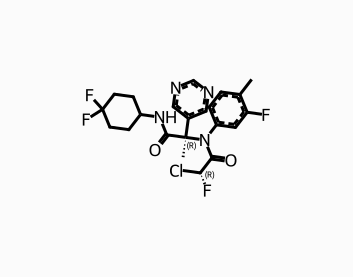 Cc1ccc(N(C(=O)[C@H](F)Cl)[C@@](C)(C(=O)NC2CCC(F)(F)CC2)c2cncnc2)cc1F